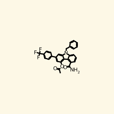 CC(=O)Oc1cc(-c2ccc(C(F)(F)F)cc2)cc2c1c1c(C(N)=O)cccc1n2Cc1ccccc1